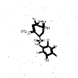 [2H]c1c([2H])c(NS(=O)(=O)[C@@H]2CC([2H])([2H])C([2H])([2H])C=C2C(=O)OCC)c(Cl)c([2H])c1F